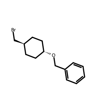 BrC[C@H]1CC[C@H](OCc2ccccc2)CC1